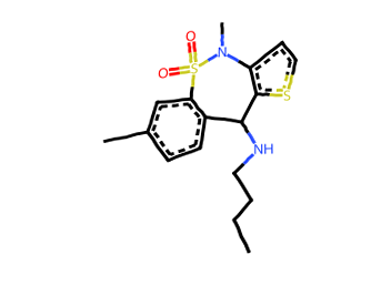 CCCCNC1c2ccc(C)cc2S(=O)(=O)N(C)c2ccsc21